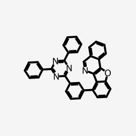 c1ccc(-c2nc(-c3ccccc3)nc(-c3cccc(-c4cccc5oc6c7ccccc7cnc6c45)c3)n2)cc1